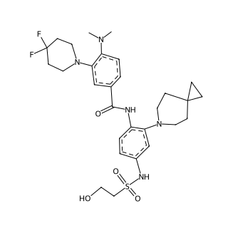 CN(C)c1ccc(C(=O)Nc2ccc(NS(=O)(=O)CCO)cc2N2CCC3(CC2)CC3)cc1N1CCC(F)(F)CC1